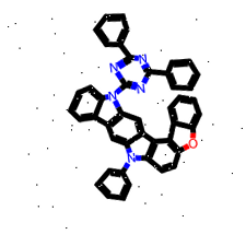 c1ccc(-c2nc(-c3ccccc3)nc(-n3c4ccccc4c4cc5c(cc43)c3c4c(ccc3n5-c3ccccc3)oc3ccccc34)n2)cc1